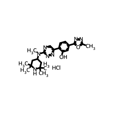 Cc1nnc(-c2ccc(-c3cnc(N(C)C4CC(C)(C)NC(C)(C)C4)nn3)c(O)c2)o1.Cl